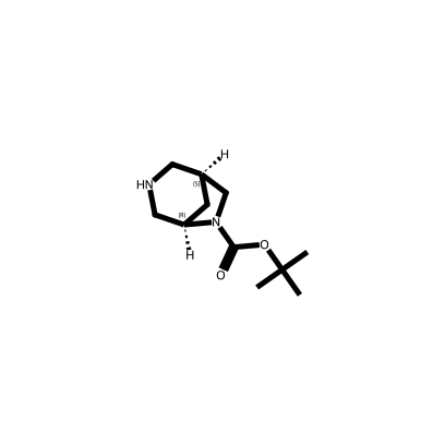 CC(C)(C)OC(=O)N1C[C@@H]2CNC[C@H]1C2